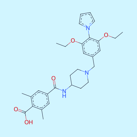 CCOc1cc(CN2CCC(NC(=O)c3cc(C)c(C(=O)O)c(C)c3)CC2)cc(OCC)c1-n1cccc1